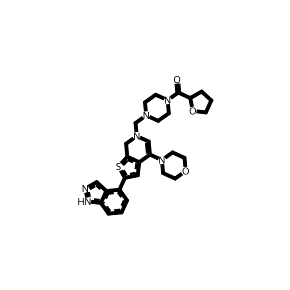 O=C(C1CCCO1)N1CCN(CN2C=C(N3CCOCC3)c3cc(-c4cccc5[nH]ncc45)sc3C2)CC1